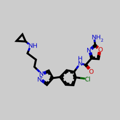 Nc1nc(C(=O)Nc2cc(-c3cnn(CCCNC4CC4)c3)ccc2Cl)co1